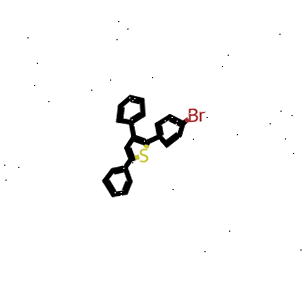 Brc1ccc(-c2sc(-c3ccccc3)cc2-c2ccccc2)cc1